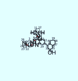 CN1CCN(CCC(=O)N2[C@@H]3CC[C@H]2CN(c2nc(OC[C@@H]4CCCN4C)nc4cc(-c5cc(O)cc6ccccc56)ccc24)C3)CC1